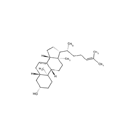 CC(C)=CCC[C@@H](C)[C@H]1CC[C@H]2C3=CC[C@H]4C[C@@H](O)CC[C@]4(C)[C@H]3CC[C@]12C